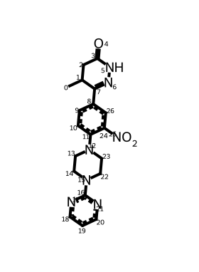 CC1CC(=O)NN=C1c1ccc(N2CCN(c3ncccn3)CC2)c([N+](=O)[O-])c1